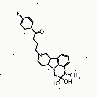 CN1c2cccc3c2N(CC1(O)O)C1CCN(CCCC(=O)C2C=CC(F)=CC2)CC31